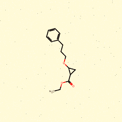 CCOC(=O)C1CC1OCCCc1ccccc1